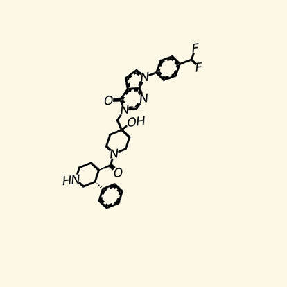 O=C([C@@H]1CCNC[C@H]1c1ccccc1)N1CCC(O)(Cn2cnc3c(ccn3-c3ccc(C(F)F)cc3)c2=O)CC1